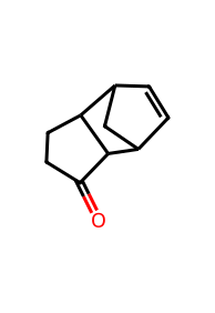 O=C1CCC2C3C=CC(C3)C12